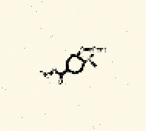 CCCCCSC1CCC(C(=O)N=S=O)CCC1N(C)C